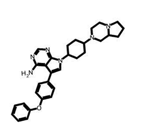 Nc1ncnc2c1c(-c1ccc(Oc3ccccc3)cc1)cn2C1CCC(N2CCN3CCCC3C2)CC1